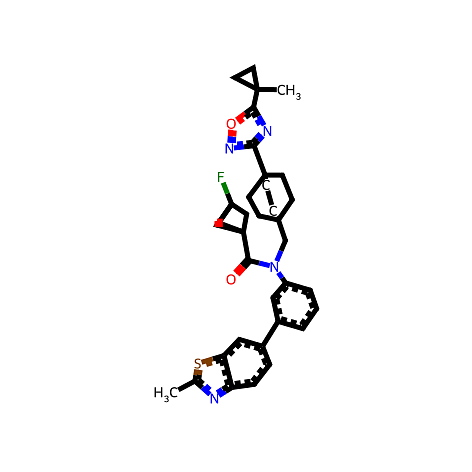 Cc1nc2ccc(-c3cccc(N(CC45CCC(c6noc(C7(C)CC7)n6)(CC4)CC5)C(=O)C45CC(F)(C4)C5)c3)cc2s1